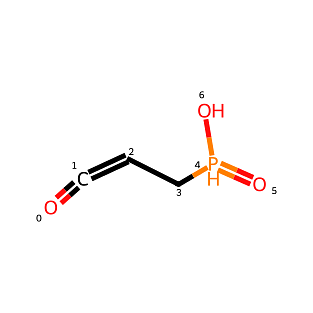 O=C=CC[PH](=O)O